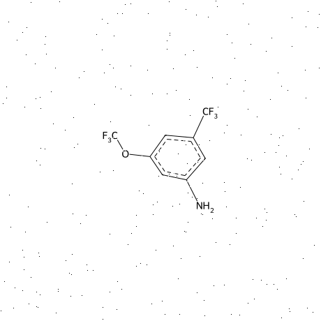 Nc1cc(OC(F)(F)F)cc(C(F)(F)F)c1